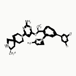 Cc1ccn(-c2cc(-c3cc(Cl)cc(Cl)c3)ccc2[C@@H](Oc2cc(N3CCC4(CC3)CN[C@H](C(=O)O)C4)nc(N)n2)C(F)(F)F)n1